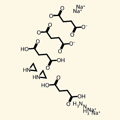 C1CN1.C1CN1.N.N.O=C(O)CCC(=O)O.O=C(O)CCC(=O)O.O=C([O-])CCC(=O)[O-].O=C([O-])CCC(=O)[O-].[Na+].[Na+].[Na+].[Na+]